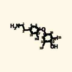 NCCc1ccc(Oc2cc(I)c(O)c(I)c2)c(I)c1